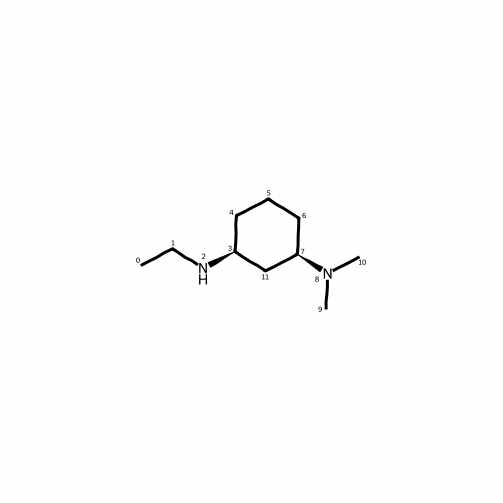 CCN[C@H]1CCC[C@@H](N(C)C)C1